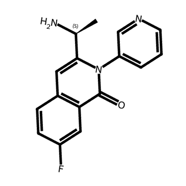 C[C@H](N)c1cc2ccc(F)cc2c(=O)n1-c1cccnc1